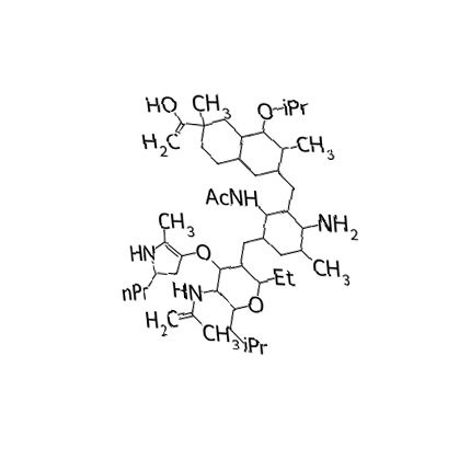 C=C(C)NC1C(CC(C)C)OC(CC)C(CC2CC(C)C(N)C(CC3CC4CCC(C)(C(=C)O)CC4C(OC(C)C)C3C)C2NC(C)=O)C1OC1=C(C)NC(CCC)C1